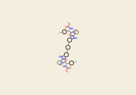 COC(=O)N[C@H](C(=O)N1CC2CCC1(c1nc3ccc(-c4ccc(-c5ccc6nc(C78CCC(CN7C(=O)[C@@H](NC(=O)OC)c7ccc(F)cc7)C8)[nH]c6c5)cc4)cc3[nH]1)C2)c1ccc(F)cc1